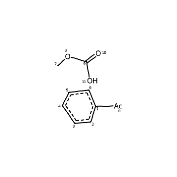 CC(=O)c1ccccc1.COC(=O)O